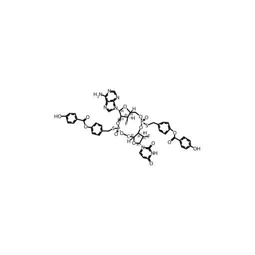 Nc1ncnc2c1ncn2[C@@H]1O[C@@H]2COP(=O)(SCc3ccc(OC(=O)c4ccc(O)cc4)cc3)O[C@H]3[C@@H](F)[C@H](n4ccc(=O)[nH]c4=O)O[C@@H]3COP(=O)(SCc3ccc(OC(=O)c4ccc(O)cc4)cc3)O[C@@H]1[C@@H]2F